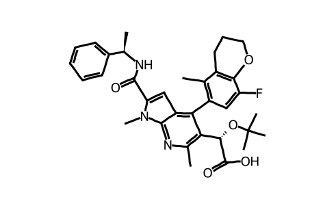 Cc1nc2c(cc(C(=O)N[C@H](C)c3ccccc3)n2C)c(-c2cc(F)c3c(c2C)CCCO3)c1[C@H](OC(C)(C)C)C(=O)O